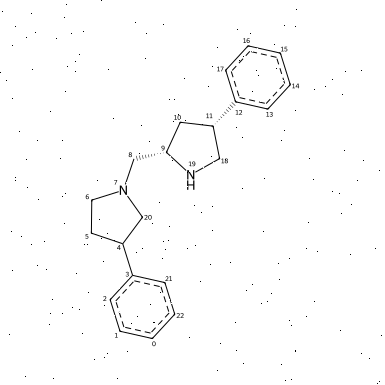 c1ccc(C2CCN(C[C@@H]3C[C@H](c4ccccc4)CN3)C2)cc1